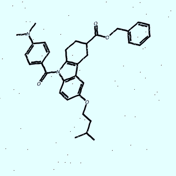 CC(C)CCOc1ccc2c(c1)c1c(n2C(=O)c2ccc(N(C)C)cc2)CCC(C(=O)OCc2ccccc2)C1